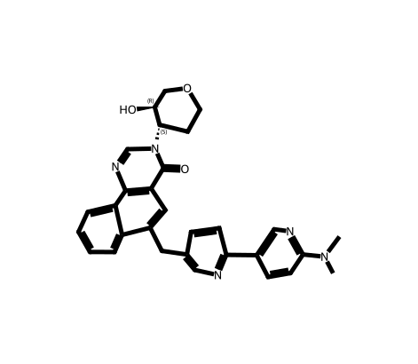 CN(C)c1ccc(-c2ccc(Cc3cc4c(=O)n([C@H]5CCOC[C@@H]5O)cnc4c4ccccc34)cn2)cn1